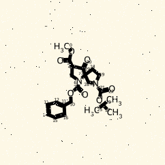 COC(=O)C1CN(C(=O)OCc2ccccc2)C2(CCN(C(=O)OC(C)(C)C)C2)C1=O